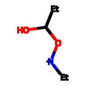 CC[N]OC(O)CC